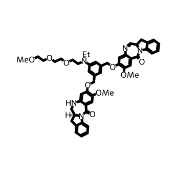 CCN(CCOCCOCCOC)c1cc(COc2cc3c(cc2OC)C(=O)N2c4ccccc4CC2C=N3)cc(COc2cc3c(cc2OC)C(=O)N2c4ccccc4C[C@H]2CN3)c1